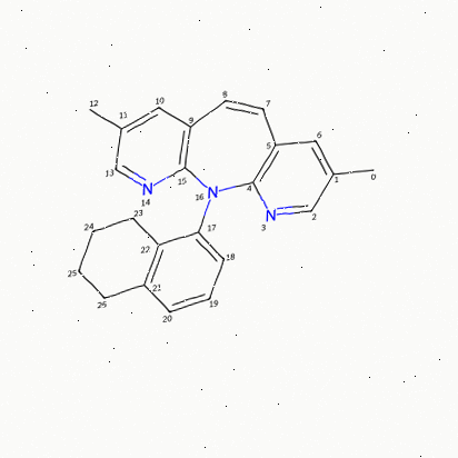 Cc1cnc2c(c1)C=Cc1cc(C)cnc1N2c1cccc2c1CCCC2